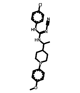 COc1ccc(N2CCC(C(C)NC(=NC#N)Nc3ccc(Cl)cc3)CC2)cc1